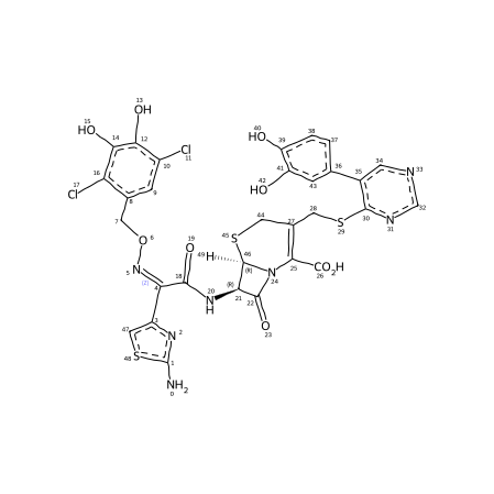 Nc1nc(/C(=N/OCc2cc(Cl)c(O)c(O)c2Cl)C(=O)N[C@@H]2C(=O)N3C(C(=O)O)=C(CSc4ncncc4-c4ccc(O)c(O)c4)CS[C@H]23)cs1